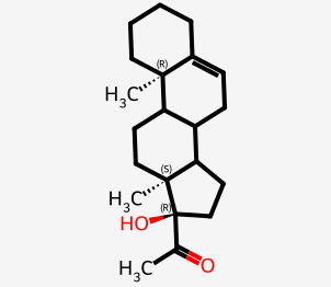 CC(=O)[C@@]1(O)CCC2C3CC=C4CCCC[C@]4(C)C3CC[C@@]21C